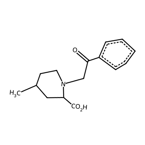 CC1CCN(CC(=O)c2ccccc2)C(C(=O)O)C1